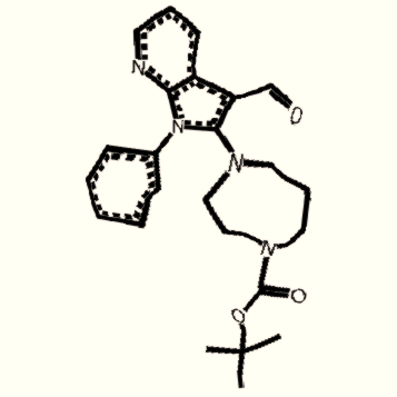 CC(C)(C)OC(=O)N1CCCN(c2c(C=O)c3cccnc3n2-c2ccccc2)CC1